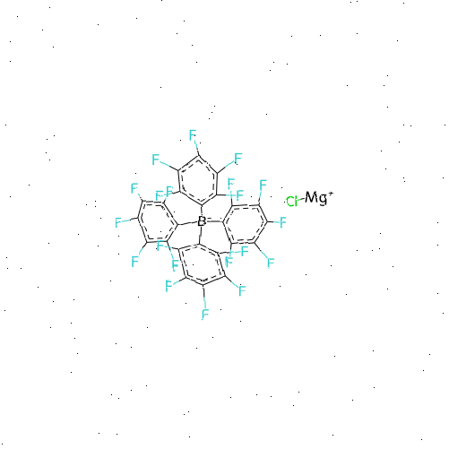 Fc1c(F)c(F)c([B-](c2c(F)c(F)c(F)c(F)c2F)(c2c(F)c(F)c(F)c(F)c2F)c2c(F)c(F)c(F)c(F)c2F)c(F)c1F.[Mg+][Cl]